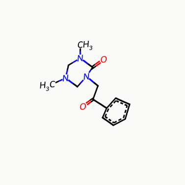 CN1CN(C)C(=O)N(CC(=O)c2ccccc2)C1